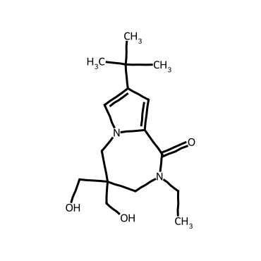 CCN1CC(CO)(CO)Cn2cc(C(C)(C)C)cc2C1=O